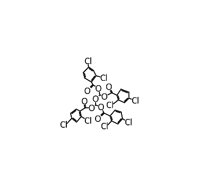 O=C(OC(OC(=O)c1ccc(Cl)cc1Cl)OC(OC(=O)c1ccc(Cl)cc1Cl)OC(=O)c1ccc(Cl)cc1Cl)c1ccc(Cl)cc1Cl